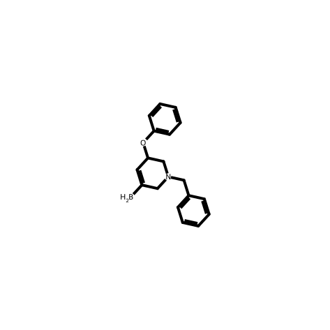 BC1=CC(Oc2ccccc2)CN(Cc2ccccc2)C1